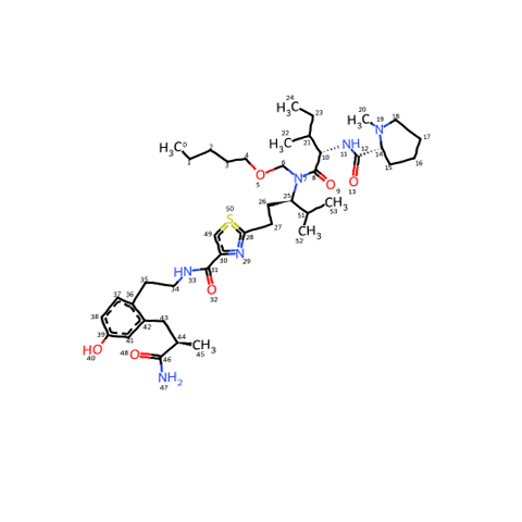 CCCCCOCN(C(=O)[C@@H](NC(=O)[C@H]1CCCCN1C)C(C)CC)[C@H](CCc1nc(C(=O)NCCc2ccc(O)cc2C[C@@H](C)C(N)=O)cs1)C(C)C